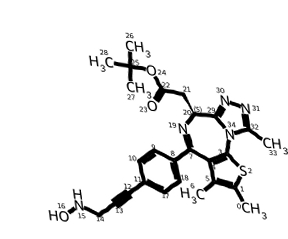 Cc1sc2c(c1C)C(c1ccc(C#CCNO)cc1)=N[C@@H](CC(=O)OC(C)(C)C)c1nnc(C)n1-2